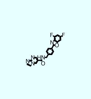 O=C(NCc1ccc(-c2nc3c(F)cc(F)cc3o2)cc1)c1cnc2nccn2c1